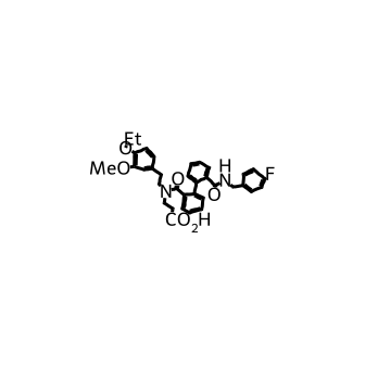 CCOc1ccc(CCN(CCC(=O)O)C(=O)c2ccccc2-c2ccccc2C(=O)NCc2ccc(F)cc2)cc1OC